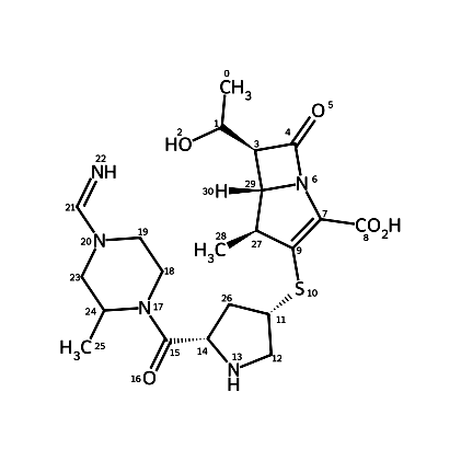 CC(O)[C@H]1C(=O)N2C(C(=O)O)=C(S[C@@H]3CN[C@H](C(=O)N4CCN(C=N)CC4C)C3)[C@@H](C)[C@H]12